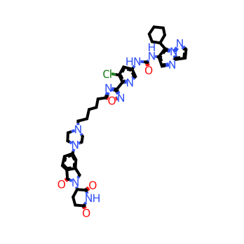 O=C1CCC(N2Cc3cc(N4CCN(CCCCCc5nc(-c6ncc(NC(=O)Nc7cnc8ccnn8c7C7CCCCC7)cc6Cl)no5)CC4)ccc3C2=O)C(=O)N1